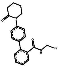 CC(C)CNC(=O)c1ccccc1-c1ccc(N2CCCCC2=O)cc1